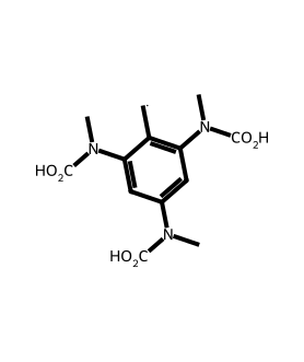 [CH2]c1c(N(C)C(=O)O)cc(N(C)C(=O)O)cc1N(C)C(=O)O